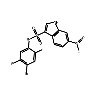 O=[N+]([O-])c1ccc2c(S(=O)(=O)Nc3cc(F)c(Br)cc3F)c[nH]c2c1